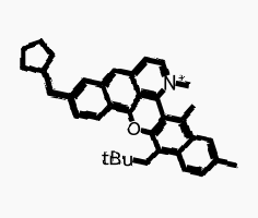 Cc1ccc2c(CC(C)(C)C)c3c(c(C)c2c1)-c1c2c(c4ccc(CC5CCCC5)cc4cc2cc[n+]1C)O3